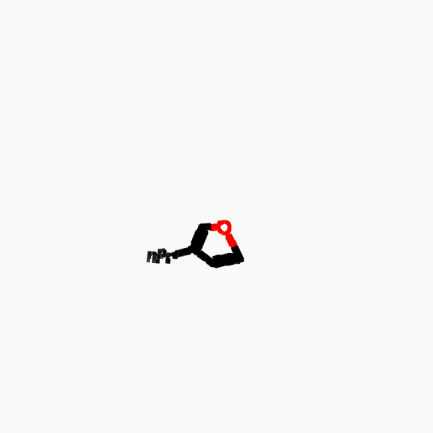 [CH2]CCc1ccoc1